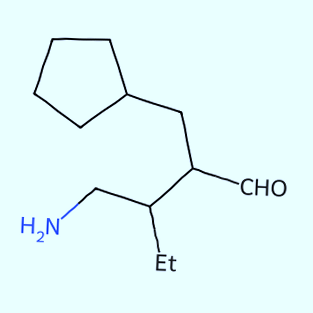 [CH2]CC(CN)C(C=O)CC1CCCC1